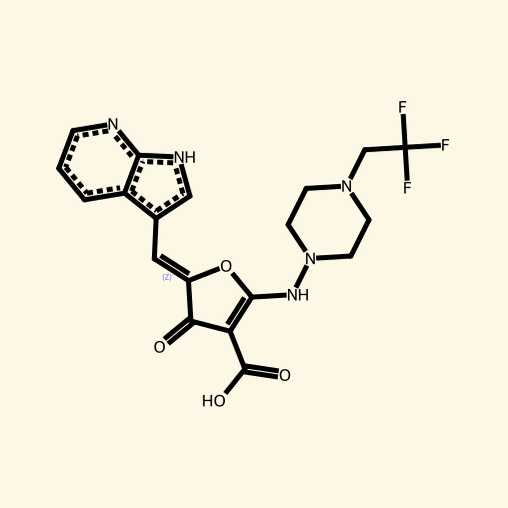 O=C(O)C1=C(NN2CCN(CC(F)(F)F)CC2)O/C(=C\c2c[nH]c3ncccc23)C1=O